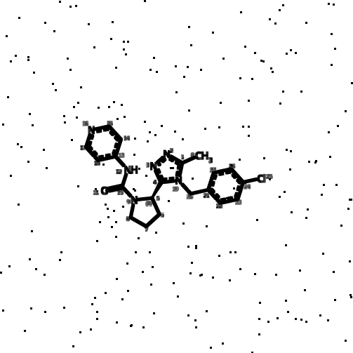 Cc1nnc([C@H]2CCCN2C(=O)Nc2ccncc2)n1Cc1ccc(Cl)cc1